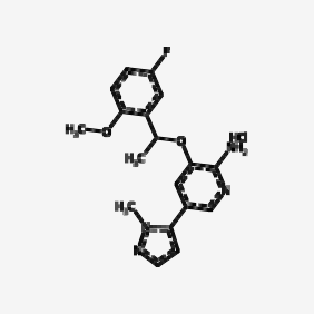 COc1ccc(F)cc1C(C)Oc1cc(-c2ccnn2C)cnc1N.Cl